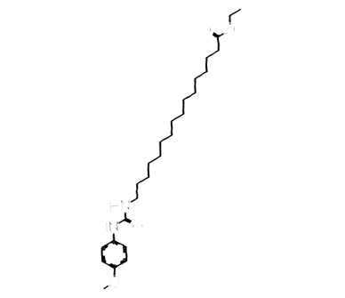 CCOC(=O)CCCCCCCCCCCCCCCNC(=O)Nc1ccc(OC)cc1